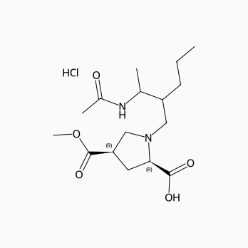 CCCC(CN1C[C@H](C(=O)OC)C[C@@H]1C(=O)O)C(C)NC(C)=O.Cl